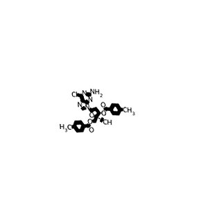 C#C[C@]1(COC(=O)c2ccc(C)cc2)OC(n2cnc3c(Cl)nc(N)nc32)C[C@@H]1OC(=O)c1ccc(C)cc1